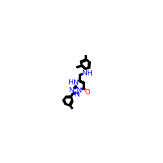 Cc1cccc(-c2nc3[nH]c(CNc4ccc(C)cc4C)cc(=O)n3n2)c1